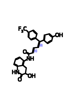 O=C(/C=C/C=C(/c1ccc(O)cc1)c1ccc(C(F)(F)F)cc1)Nc1cccc2c1CC(O)C(=O)N2